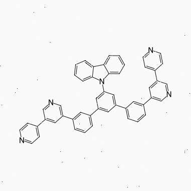 c1cc(-c2cncc(-c3ccncc3)c2)cc(-c2cc(-c3cccc(-c4cncc(-c5ccncc5)c4)c3)cc(-n3c4ccccc4c4ccccc43)c2)c1